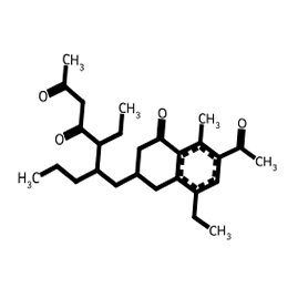 CCCC(CC1CC(=O)c2c(C)c(C(C)=O)cc(CC)c2C1)C(CC)C(=O)CC(C)=O